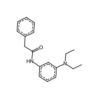 CCN(CC)c1cccc(NC(=O)Cc2ccccc2)c1